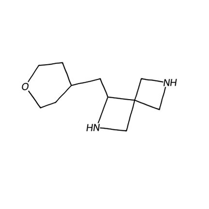 C1CC(CC2NCC23CNC3)CCO1